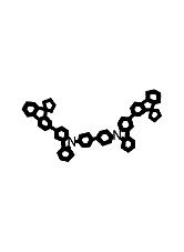 c1ccc2c(c1)-c1ccc(-c3ccc4c(c3)c3ccccc3n4-c3ccc(-c4ccc(-n5c6ccccc6c6cc(-c7ccc8c(c7)C7(CCCC7)c7ccccc7-8)ccc65)cc4)cc3)cc1C21CCCC1